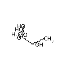 CCCCCC[C@@H](O)C/C=C\CCCCCCC(C(C)=O)C(=O)OCC(O)CO